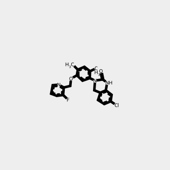 Cc1cc(C)c(N2Cc3ccc(Cl)cc3NC2=O)cc1OCc1ncccc1F